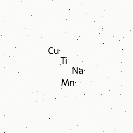 [Cu].[Mn].[Na].[Ti]